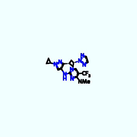 CNc1nc(Nc2cn(C3CC3)nc2[C@H]2C[C@@H](n3nccn3)C2)ncc1C(F)(F)F